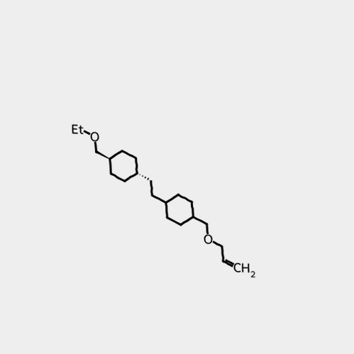 C=CCOCC1CCC(CC[C@H]2CC[C@H](COCC)CC2)CC1